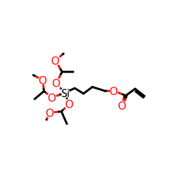 C=CC(=O)OCCCC[Si](OC(C)OC)(OC(C)OC)OC(C)OC